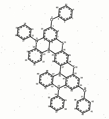 c1ccc(Oc2cc3c4c(c2)N(c2ccccc2)c2ccccc2B4c2cc4c(cc2S3)Sc2cc(Oc3ccccc3)cc3c2B4c2ccccc2N3c2ccccc2)cc1